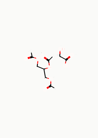 CC(=O)OCC(COC(C)=O)OC(C)=O.O=C(O)CO